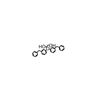 OCCO.c1ccc(Cc2cccc(Oc3cccc(Cc4ccccc4)c3)c2)cc1